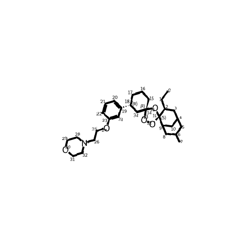 CCC1CC2CC(C)CC(C2)[C@@]12OO[C@@]1(CCC[C@@H](c3cccc(OCCN4CCOCC4)c3)C1)O2